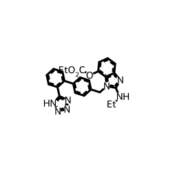 CCNc1nc2cccc(OC(=O)OCC)c2n1Cc1ccc(-c2ccccc2-c2nnn[nH]2)cc1